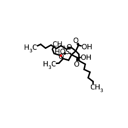 CCCCCCCCC(CCCCCCCC)(C(=O)O)C(CC(CC)CCCC)(C(=O)O)S(=O)(=O)O